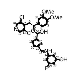 COc1ccc([C@H](Cc2c(Cl)cncc2Cl)OC(O)c2ccc(CNc3cc(O)cc(F)c3)s2)cc1OC